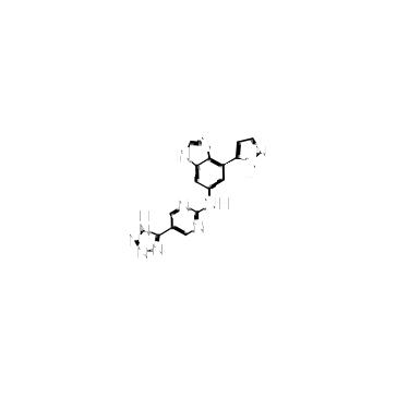 c1cc(-c2cc(Nc3ncc(-c4nnn[nH]4)cn3)cc3[nH]cnc23)[nH]n1